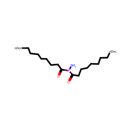 CCCCCCCCCCCCCCCCCC(=O)P(N)C(=O)CCCCCCCCCCCCCCCCC